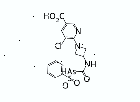 O=C(NC1CN(c2ncc(C(=O)O)cc2Cl)C1)[AsH]S(=O)(=O)c1ccccc1